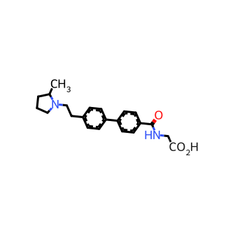 CC1CCCN1CCc1ccc(-c2ccc(C(=O)NCC(=O)O)cc2)cc1